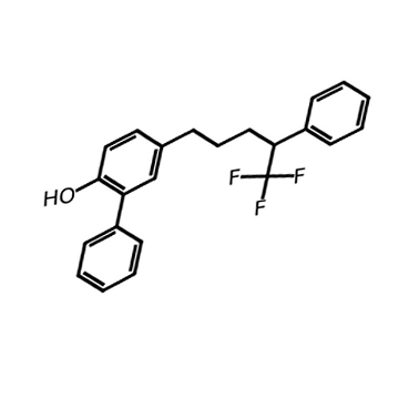 Oc1ccc(CCCC(c2ccccc2)C(F)(F)F)cc1-c1ccccc1